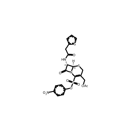 CC(=O)OCC1=C(S(=O)(=O)Oc2ccc([N+](=O)[O-])cc2)N2C(=O)[C@H](NC(=O)Cc3cccs3)[C@H]2SC1